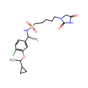 CC(NS(=O)(=O)CCCCCN1CC(=O)NC1=O)c1ccc(F)c(OC(C)C2CC2)c1